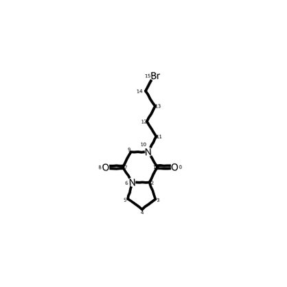 O=C1C2CCCN2C(=O)CN1CCCCBr